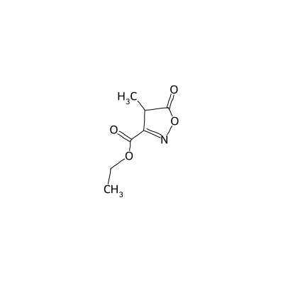 CCOC(=O)C1=NOC(=O)C1C